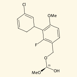 COc1ccc(CO[C@@H](O)OC)c(F)c1C1C=C(Cl)C=CC1